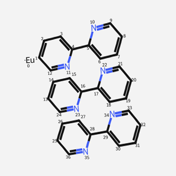 [Eu].c1ccc(-c2ccccn2)nc1.c1ccc(-c2ccccn2)nc1.c1ccc(-c2ccccn2)nc1